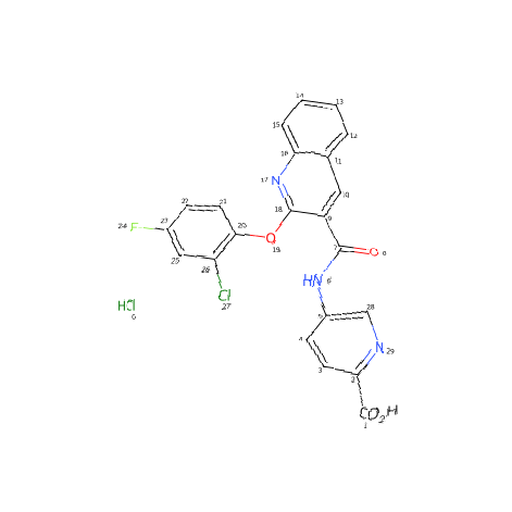 Cl.O=C(O)c1ccc(NC(=O)c2cc3ccccc3nc2Oc2ccc(F)cc2Cl)cn1